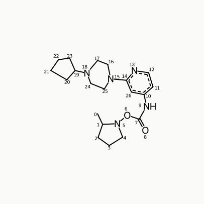 CC1CCCN1OC(=O)Nc1ccnc(N2CCN(C3CCCC3)CC2)c1